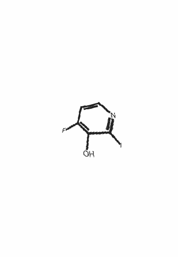 Oc1c(F)ccnc1I